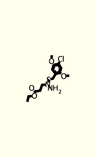 CCOC(=O)CCN(N)SCc1cc(OC)c(Cl)cc1OC